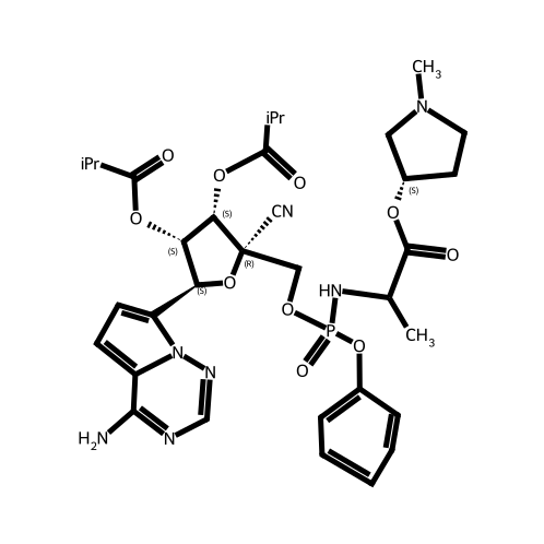 CC(C)C(=O)O[C@H]1[C@H](c2ccc3c(N)ncnn23)O[C@](C#N)(COP(=O)(NC(C)C(=O)O[C@H]2CCN(C)C2)Oc2ccccc2)[C@H]1OC(=O)C(C)C